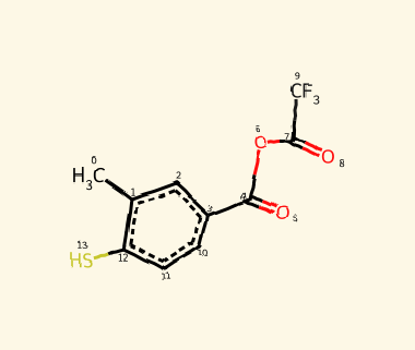 Cc1cc(C(=O)OC(=O)C(F)(F)F)ccc1S